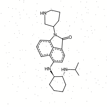 CC(C)N[C@@H]1CCCC[C@H]1Nc1ccc2c3c(cccc13)N(C1CCCNC1)C2=O